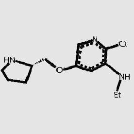 CCNc1cc(OC[C@@H]2CCCN2)cnc1Cl